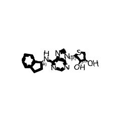 O[C@@H]1[C@H](O)CS[C@H]1n1cnc2c(N[C@@H]3CCc4ccccc43)ncnc21